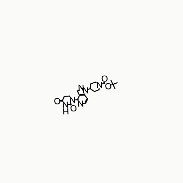 CC(C)(C)OC(=O)N1CCC(n2ncc3c(N4CCC(=O)NC4=O)nccc32)CC1